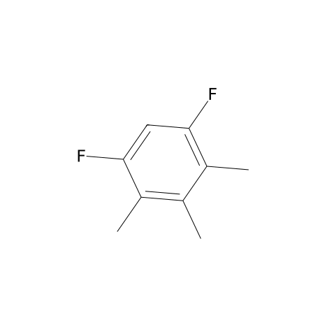 Cc1c(F)cc(F)c(C)c1C